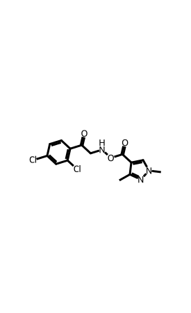 Cc1nn(C)cc1C(=O)ONCC(=O)c1ccc(Cl)cc1Cl